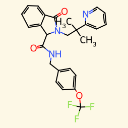 CC(C)(CN1C(=O)c2ccccc2C1C(=O)NCc1ccc(OC(F)(F)F)cc1)c1ccccn1